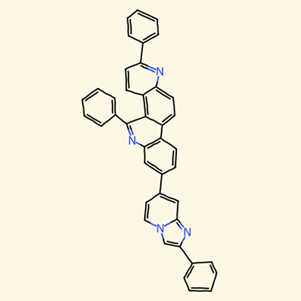 c1ccc(-c2ccc3c(ccc4c5ccc(-c6ccn7cc(-c8ccccc8)nc7c6)cc5nc(-c5ccccc5)c34)n2)cc1